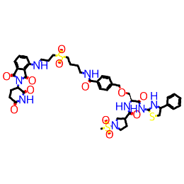 CS(=O)(=O)N1CCC(C(=O)N[C@@H](COCc2ccc(C(=O)NCCCCS(=O)(=O)CCCNc3cccc4c3C(=O)N(C3CCC(=O)NC3=O)C4=O)cc2)C(=O)NC2NC(c3ccccc3)CS2)C1